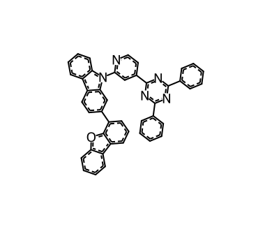 c1ccc(-c2nc(-c3ccccc3)nc(-c3ccnc(-n4c5ccccc5c5ccc(-c6cccc7c6oc6ccccc67)cc54)c3)n2)cc1